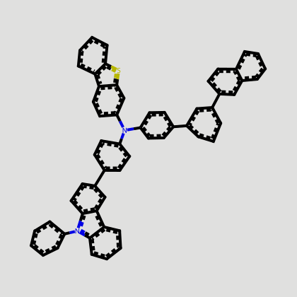 c1ccc(-n2c3ccccc3c3cc(-c4ccc(N(c5ccc(-c6cccc(-c7ccc8ccccc8c7)c6)cc5)c5ccc6c(c5)sc5ccccc56)cc4)ccc32)cc1